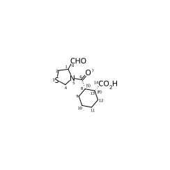 O=CC1CSCN1C(=O)[C@H]1CCCC[C@H]1C(=O)O